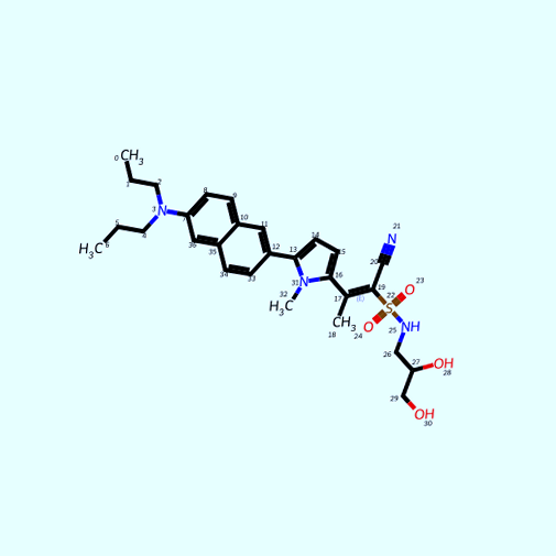 CCCN(CCC)c1ccc2cc(-c3ccc(/C(C)=C(\C#N)S(=O)(=O)NCC(O)CO)n3C)ccc2c1